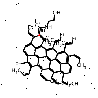 C/C=C\c1c(/C(C)=C/CC)c2c(/C(C)=C/CC)c3c(/C(C)=C/C(C)NCCO)c4c(/C(=C/CC)CC(C)CC)ccc5c(CC)c(/C=C\C)c6c(/C=C\C)c7c(/C=C\C)c8c(/C=C\C)ccc1c8c2c7c3c6c54